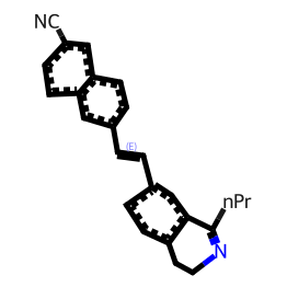 CCCC1=NCCc2ccc(/C=C/c3ccc4cc(C#N)ccc4c3)cc21